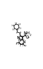 Cc1cc(C)n2nc(CCC3CCCCC3)c(C(N)=O)c2n1